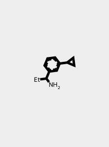 CCC(N)c1cccc(C2CC2)c1